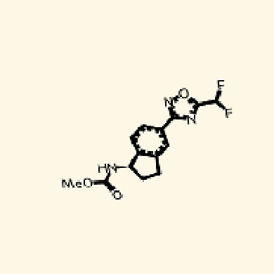 COC(=O)N[C@@H]1CCc2cc(-c3noc(C(F)F)n3)ccc21